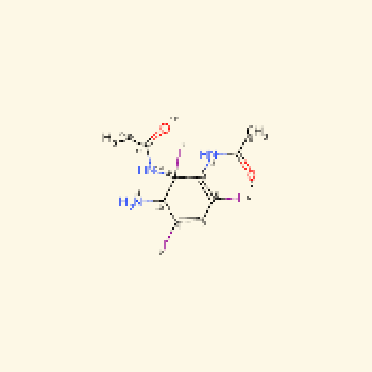 CC(=O)NC1=C(I)C=C(I)C(N)C1(I)NC(C)=O